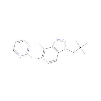 CC(C)(C)Cn1nnc2c(Br)c(Oc3ncccn3)ccc21